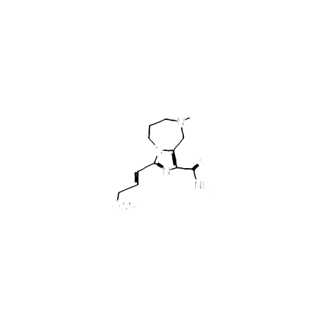 COC/C=C/c1nc(C(N)=O)c2n1CCCN(C)C2